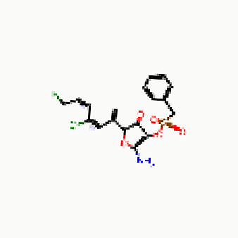 C=C(/C=C(Cl)\C=C/CF)C1OC(N)=C(OS(=O)(=O)Cc2ccccc2)C1=O